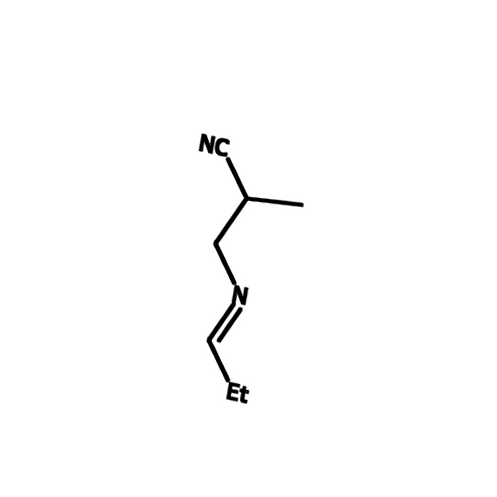 CC/C=N/CC(C)C#N